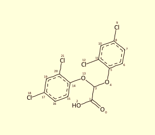 O=C(O)C(Oc1ccc(Cl)cc1Cl)Oc1ccc(Cl)cc1Cl